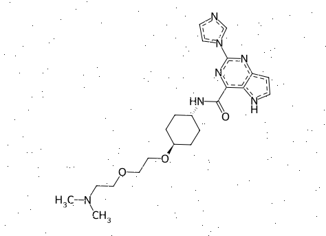 CN(C)CCOCCO[C@H]1CC[C@H](NC(=O)c2nc(-n3ccnc3)nc3cc[nH]c23)CC1